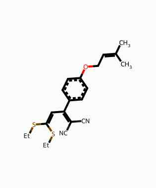 CCSC(=CC(=C(C#N)C#N)c1ccc(OCC=C(C)C)cc1)SCC